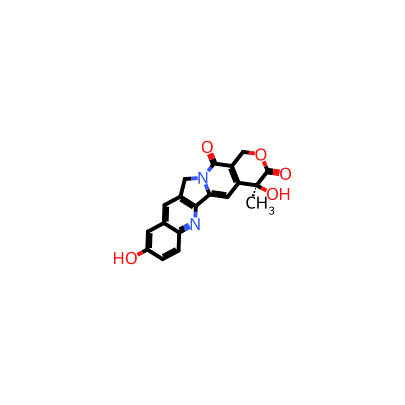 C[C@@]1(O)C(=O)OCc2c1cc1n(c2=O)Cc2cc3cc(O)ccc3nc2-1